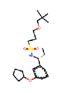 CC[C@@H](NS(=O)(=O)CCCOCC(C)(C)C)c1cccc(OC2CCCC2)c1